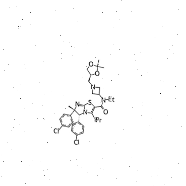 CCN(C(=O)C1=C(C(C)C)N2C(=N[C@@](C)(c3ccc(Cl)cc3)[C@H]2c2ccc(Cl)cc2)S1)C1CN(C[C@H]2COC(C)(C)O2)C1